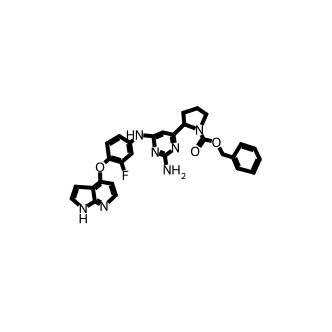 Nc1nc(Nc2ccc(Oc3ccnc4[nH]ccc34)c(F)c2)cc(C2CCCN2C(=O)OCc2ccccc2)n1